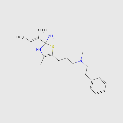 CC1=C(CCCN(C)CCc2ccccc2)SC(N)(C(=CC(=O)O)C(=O)O)N1